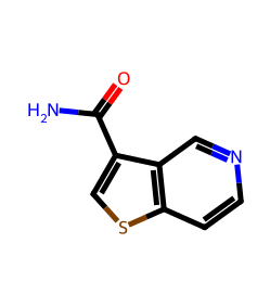 NC(=O)c1csc2ccncc12